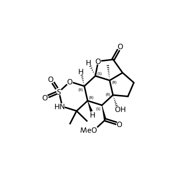 COC(=O)[C@H]1[C@H]2[C@@H](OS(=O)(=O)NC2(C)C)[C@H]2OC(=O)C3CC[C@]1(O)[C@]32C